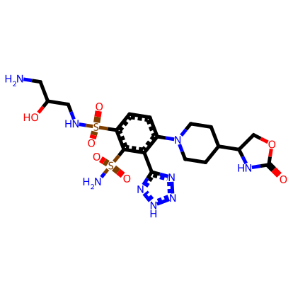 NCC(O)CNS(=O)(=O)c1ccc(N2CCC(C3COC(=O)N3)CC2)c(-c2nn[nH]n2)c1S(N)(=O)=O